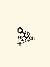 CC(C)(C)OC(=O)NC(C(=O)c1ccccc1)C(O)C(=O)O